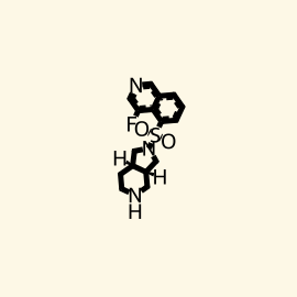 O=S(=O)(c1cccc2cncc(F)c12)N1C[C@H]2CCNC[C@H]2C1